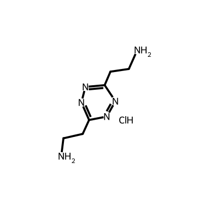 Cl.NCCc1nnc(CCN)nn1